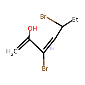 C=C(O)/C(Br)=C\C(Br)CC